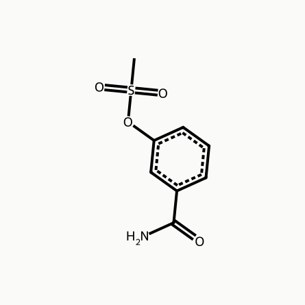 CS(=O)(=O)Oc1cccc(C(N)=O)c1